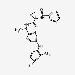 CC(NC(=O)C1(NC(=O)c2cncnc2)CC1)c1ccc(Nc2ccc(Br)cc2C(F)(F)F)cn1